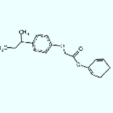 CCC(C)c1ccc(OCC(=O)OC2=CCCC=C2)cc1